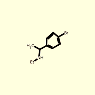 CCNC(C)c1ccc(Br)cc1